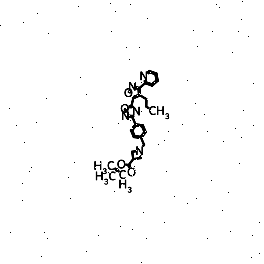 CCCc1c(-c2ccccn2)noc1-c1nc(-c2ccc(CN3CC(C(=O)OC(C)(C)C)C3)cc2)no1